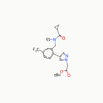 CCN(Cc1cc(C(F)(F)F)ccc1-c1cnn(CC(=O)OC(C)(C)C)c1)C(=O)C1CC1